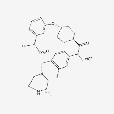 CCC(C(=O)O)c1cccc(O[C@H]2CC[C@H](C(=O)N(C)c3ccc(CN4CCN[C@@H](C)C4)c(C)c3)CC2)c1.Cl